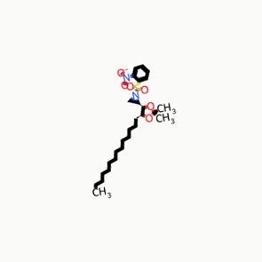 CCCCCCCCCCCCCC[C@H]1OC(C)(C)O[C@H]1C1CN1S(=O)(=O)c1ccccc1[N+](=O)[O-]